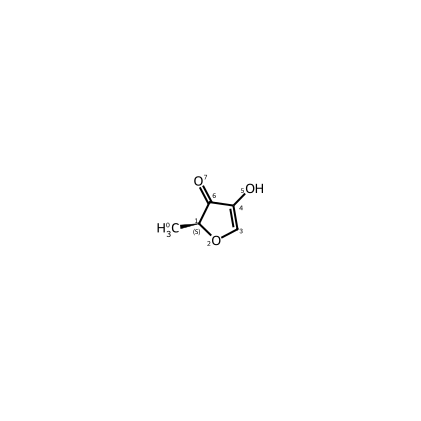 C[C@@H]1OC=C(O)C1=O